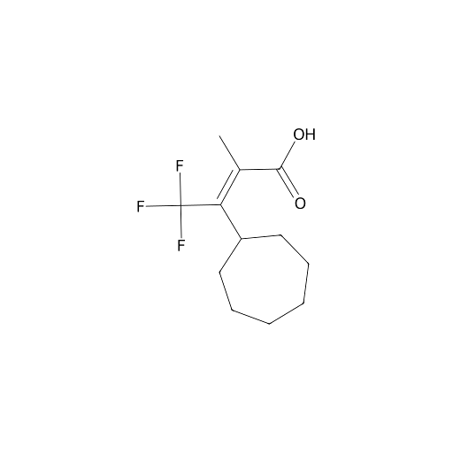 CC(C(=O)O)=C(C1CCCCCC1)C(F)(F)F